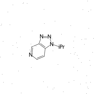 CC(C)n1nnc2cnccc21